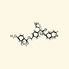 Cc1ccc(C(=O)OCc2ccc([C@@H](CCN)C(=O)Nc3ccc4cnccc4c3)cc2)c(C)c1